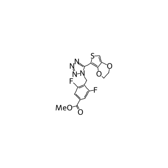 COC(=O)c1cc(F)c(Cn2nnnc2-c2scc3c2OCCO3)c(F)c1